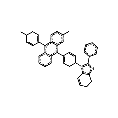 Cc1ccc2c(C3=CCC(C)C=C3)c3ccccc3c(C3=CCC(n4c(-c5ccccc5)nc5c4C=CCC5)C=C3)c2c1